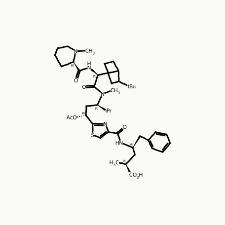 CC(=O)O[C@H](C[C@H](C(C)C)N(C)C(=O)[C@@H](NC(=O)[C@H]1CCCCN1C)C12CCC1C(C(C)(C)C)C2)c1nc(C(=O)N[C@@H](Cc2ccccc2)C[C@H](C)C(=O)O)cs1